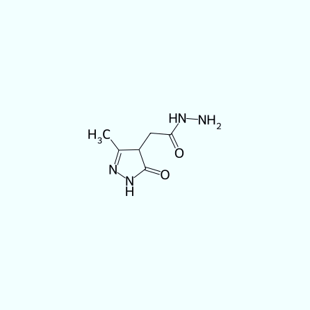 CC1=NNC(=O)C1CC(=O)NN